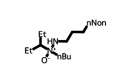 CCCCCCCCCCCCN[N+]([O-])(CCCC)C(CC)CC